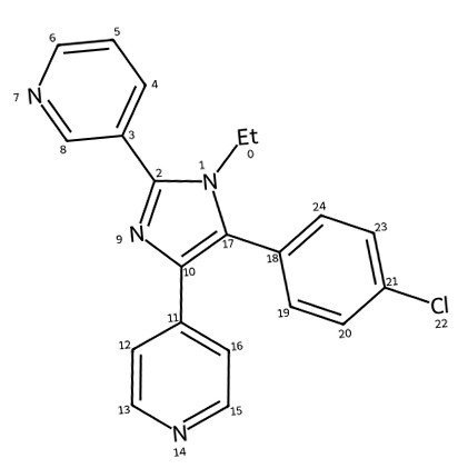 CCn1c(-c2cccnc2)nc(-c2ccncc2)c1-c1ccc(Cl)cc1